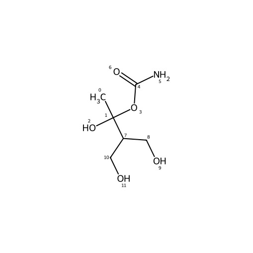 CC(O)(OC(N)=O)C(CO)CO